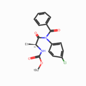 CC[C@H](NC(=O)OC(C)(C)C)C(=O)N(C(=O)c1ccccc1)c1ccc(Cl)cc1